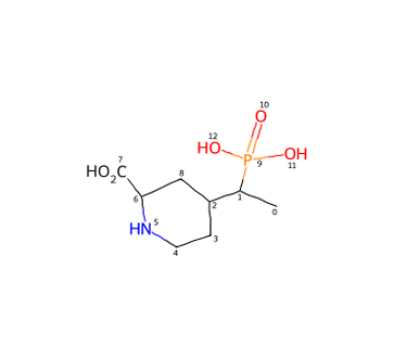 CC(C1CCNC(C(=O)O)C1)P(=O)(O)O